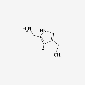 CCc1c[nH]c(CN)c1F